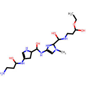 CCOC(O)CCNC(O)C1NC(NC(O)C2CC(NC(O)CCN)=CN2)=CN1C